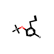 [Li][c]1ccc(O[Si](C)(C)C)c(CC=C)c1